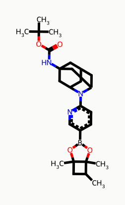 CC1CC2(C)OB(c3ccc(N4C5CC6CC4CC(NC(=O)OC(C)(C)C)(C6)C5)nc3)OC12C